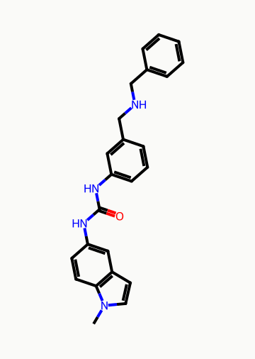 Cn1ccc2cc(NC(=O)Nc3cccc(CNCc4ccccc4)c3)ccc21